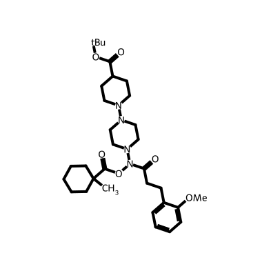 COc1ccccc1CCC(=O)N(OC(=O)C1(C)CCCCC1)N1CCN(N2CCC(C(=O)OC(C)(C)C)CC2)CC1